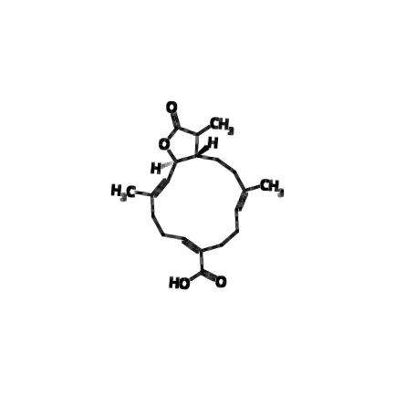 C/C1=C\[C@H]2OC(=O)C(C)[C@@H]2CC/C(C)=C/CC/C(C(=O)O)=C/CC1